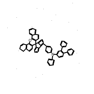 C1=Cc2c(ccc3c2Oc2c(ccc4ccccc24)C32c3ccccc3-c3c(-c4ccc(N(c5ccccc5)c5ccc(-c6ccccc6)c(-c6ccccc6)c5)cc4)cccc32)CC1